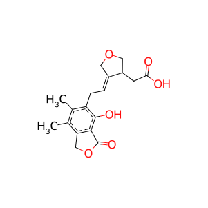 Cc1c(C)c2c(c(O)c1CC=C1COCC1CC(=O)O)C(=O)OC2